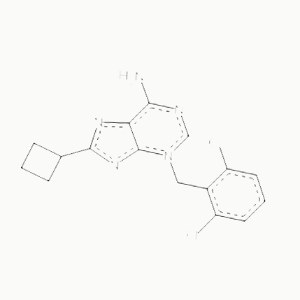 Nc1ncn(Cc2c(Cl)cccc2Cl)c2nc(C3CCC3)nc1-2